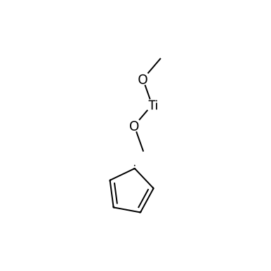 C[O][Ti][O]C.[CH]1C=CC=C1